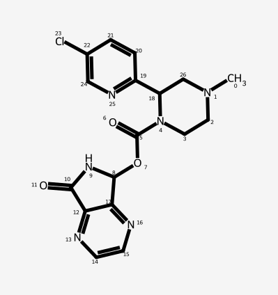 CN1CCN(C(=O)OC2NC(=O)c3nccnc32)C(c2ccc(Cl)cn2)C1